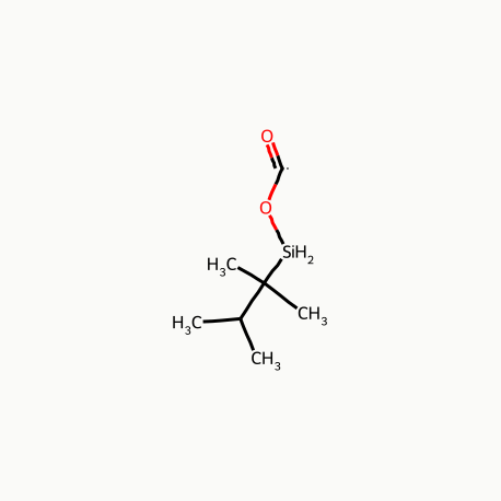 CC(C)C(C)(C)[SiH2]O[C]=O